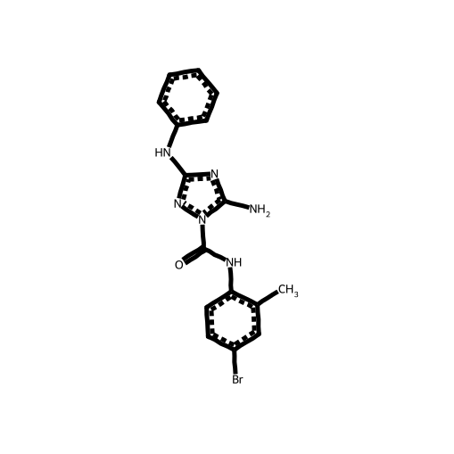 Cc1cc(Br)ccc1NC(=O)n1nc(Nc2ccccc2)nc1N